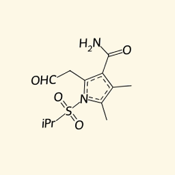 Cc1c(C(N)=O)c(CC=O)n(S(=O)(=O)C(C)C)c1C